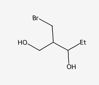 CCC(O)C(CO)CBr